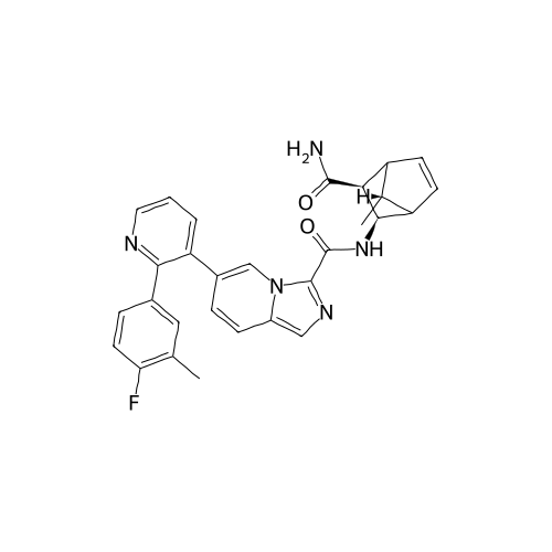 Cc1cc(-c2ncccc2-c2ccc3cnc(C(=O)N[C@@H]4C5C=CC([C@H]5C)[C@@H]4C(N)=O)n3c2)ccc1F